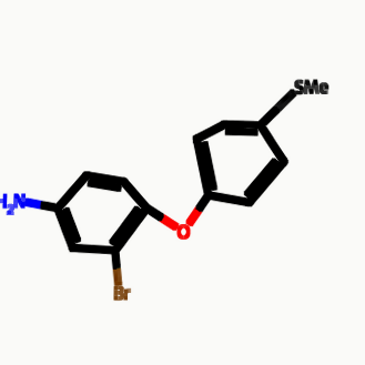 CSc1ccc(Oc2ccc(N)cc2Br)cc1